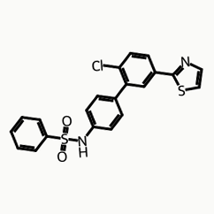 O=S(=O)(Nc1ccc(-c2cc(-c3nccs3)ccc2Cl)cc1)c1ccccc1